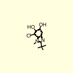 Cn1c(C(C)(C)C)nc2cc(O)c(O)c(Cl)c21